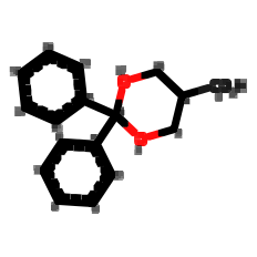 O=C(O)C1COC(c2ccccc2)(c2ccccc2)OC1